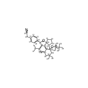 CC(C)c1nc2c(c3c1[C@@H](c1ccc(CC#N)cc1)OC31CCCC1I)C(O[Si](C)(C)C(C)(C)C)CC(C)(C)C2